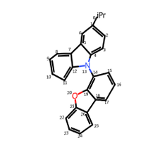 CC(C)c1ccc2c(c1)c1ccccc1n2-c1cccc2c1oc1ccccc12